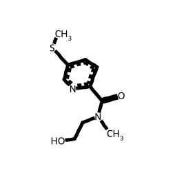 CSc1ccc(C(=O)N(C)CCO)nc1